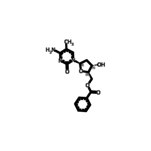 Cc1cn([C@H]2C[C@H](O)[C@@H](COC(=O)c3ccccc3)O2)c(=O)nc1N